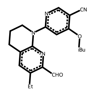 CCc1cc2c(nc1C=O)N(c1cc(OC(C)CC)c(C#N)cn1)CCC2